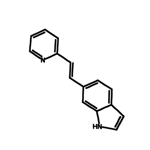 C(=Cc1ccccn1)c1ccc2cc[nH]c2c1